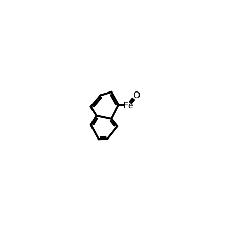 [O]=[Fe][c]1cccc2ccccc12